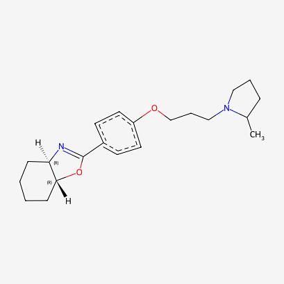 CC1CCCN1CCCOc1ccc(C2=N[C@@H]3CCCC[C@H]3O2)cc1